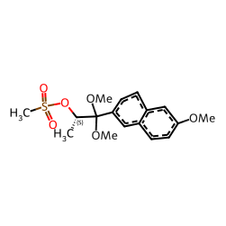 COc1ccc2cc(C(OC)(OC)[C@H](C)OS(C)(=O)=O)ccc2c1